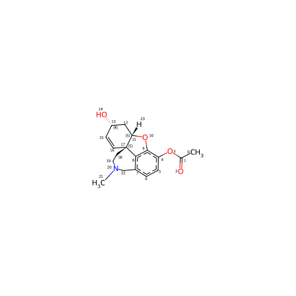 CC(=O)Oc1ccc2c3c1O[C@H]1C[C@@H](O)C=C[C@@]31CCN(C)C2